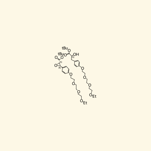 CCOCCOCCOCCOc1ccc(C[C@H](O)C(=O)OC(C)(C)C)cc1.CCOCCOCCOCCOc1ccc([C@H]2O[C@@H]2C(=O)OC(C)(C)C)cc1